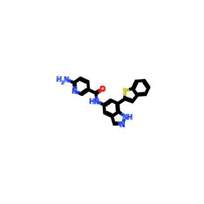 Nc1ccc(C(=O)Nc2cc(-c3cc4ccccc4s3)c3[nH]ncc3c2)cn1